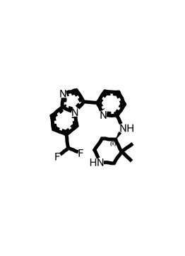 CC1(C)CNCC[C@H]1Nc1cccc(-c2cnc3ccc(C(F)F)cn23)n1